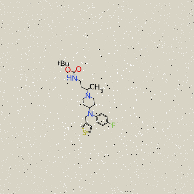 C[C@H](CCNC(=O)OC(C)(C)C)N1CCC(N(Cc2ccsc2)c2ccc(F)cc2)CC1